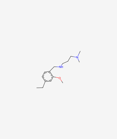 CCc1ccc(CNCCCN(C)C)c(OC)c1